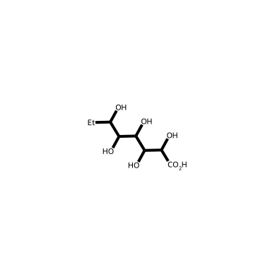 CCC(O)C(O)C(O)C(O)C(O)C(=O)O